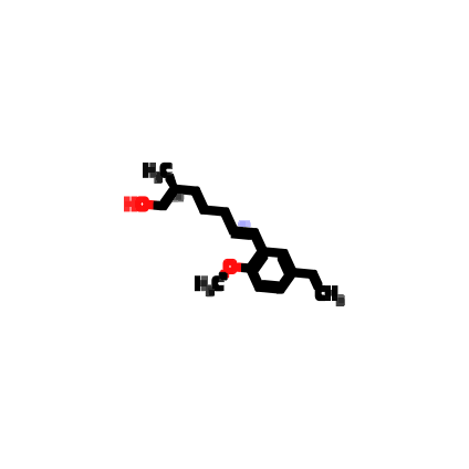 CCc1ccc(OC)c(/C=C/CCC[C@H](C)CO)c1